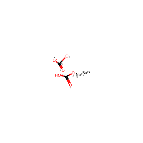 O=C([O-])O.O=C([O-])[O-].[Ba+2].[Na+]